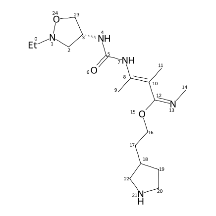 CCN1C[C@@H](NC(=O)N/C(C)=C(C)/C(=N\C)OCCC2CCNC2)CO1